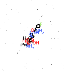 CC(C)[C@H](N)C(=O)O[C@H]1[C@@H](O)[C@](C)(c2ccc3c(NC(=O)[C@@H](N)Cc4ccc(F)cc4)ncnn23)O[C@@H]1CO